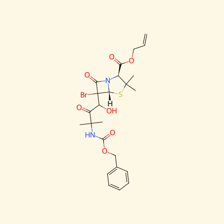 C=CCOC(=O)[C@@H]1N2C(=O)C(Br)(C(O)C(=O)C(C)(C)NC(=O)OCc3ccccc3)[C@H]2SC1(C)C